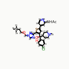 CC(=O)Nc1cc(-c2cc(C(O)(c3ccc(Cl)cc3)C3CCN(C)CC3)c(-c3ncn(COCC[Si](C)(C)C)n3)s2)ccn1